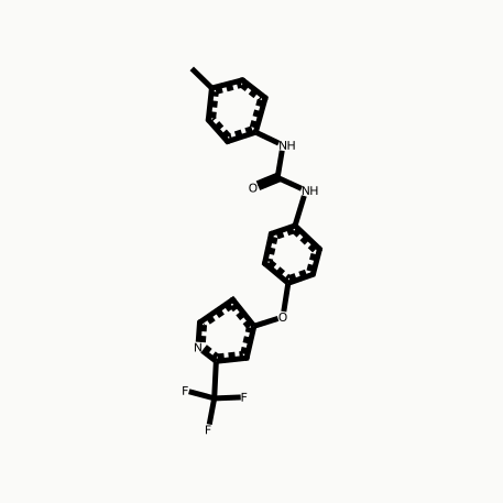 Cc1ccc(NC(=O)Nc2ccc(Oc3ccnc(C(F)(F)F)c3)cc2)cc1